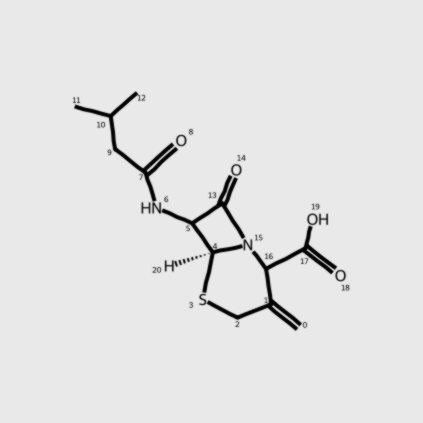 C=C1CS[C@H]2C(NC(=O)CC(C)C)C(=O)N2C1C(=O)O